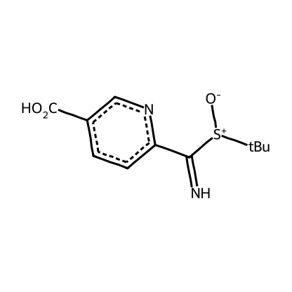 CC(C)(C)[S+]([O-])C(=N)c1ccc(C(=O)O)cn1